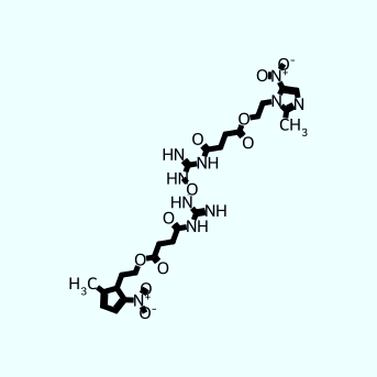 CC1=CC=C([N+](=O)[O-])C1CCOC(=O)CCC(=O)NC(=N)NONC(=N)NC(=O)CCC(=O)OCCn1c([N+](=O)[O-])cnc1C